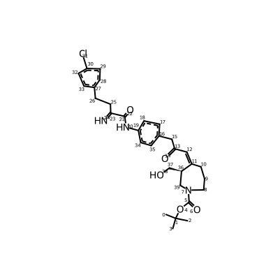 CC(C)(C)OC(=O)N1CCC/C(=C/C(=O)Cc2ccc(NC(=O)C(=N)CCc3ccc(Cl)cc3)cc2)[C@H](CO)C1